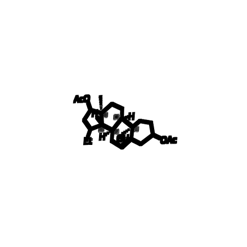 CCC1CC(OC(C)=O)[C@@]2(C)CC[C@@H]3[C@@H](CC=C4CC(OC(C)=O)CC[C@@]43CO)[C@H]12